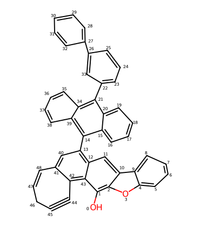 Oc1c2oc3ccccc3c2cc2c(-c3c4ccccc4c(-c4cccc(-c5ccccc5)c4)c4ccccc34)cc3c(c12)C#CCC=C3